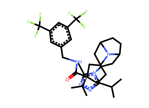 Cc1nnc(C(C)C)n1C1CC2CCC(C1)N2C1CC[C@@](C(=O)NCc2cc(C(F)(F)F)cc(C(F)(F)F)c2)(C(C)C)C1